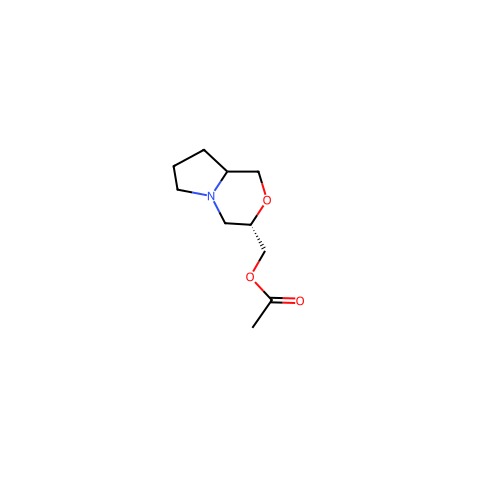 CC(=O)OC[C@@H]1CN2CCCC2CO1